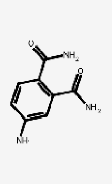 [NH]c1ccc(C(N)=O)c(C(N)=O)c1